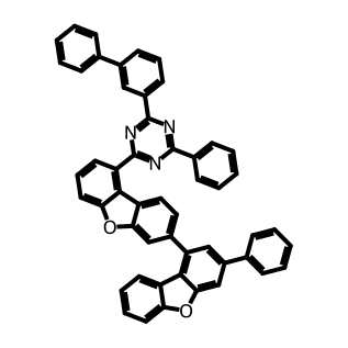 c1ccc(-c2cccc(-c3nc(-c4ccccc4)nc(-c4cccc5oc6cc(-c7cc(-c8ccccc8)cc8oc9ccccc9c78)ccc6c45)n3)c2)cc1